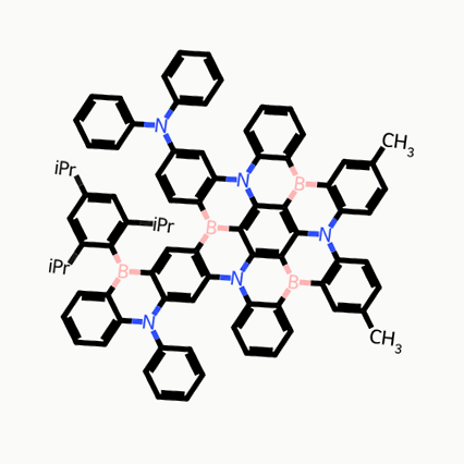 Cc1ccc2c(c1)B1c3ccccc3N3c4cc(N(c5ccccc5)c5ccccc5)ccc4B4c5cc6c(cc5N5c7ccccc7B7c8cc(C)ccc8N2c2c1c3c4c5c27)N(c1ccccc1)c1ccccc1B6c1c(C(C)C)cc(C(C)C)cc1C(C)C